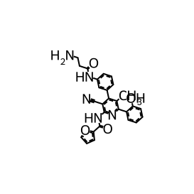 Cc1c(-c2ccccc2O)nc(NC(=O)c2ccco2)c(C#N)c1-c1cccc(NC(=O)CCN)c1